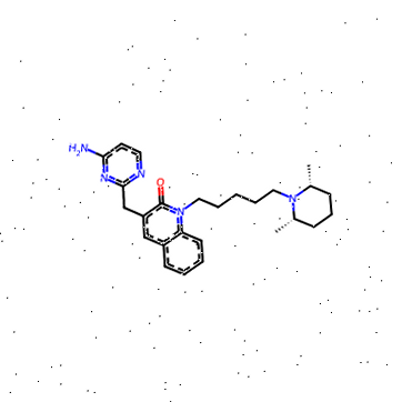 C[C@@H]1CCC[C@H](C)N1CCCCCn1c(=O)c(Cc2nccc(N)n2)cc2ccccc21